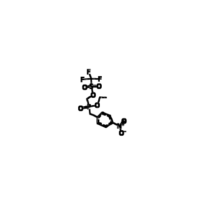 CCOP(=O)(COS(=O)(=O)C(F)(F)F)Cc1ccc([N+](=O)[O-])cc1